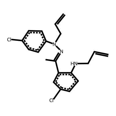 C=CCNc1ccc(Cl)cc1/C(C)=N/N(CC=C)c1ccc(Cl)cc1